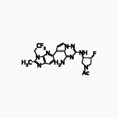 CC(=O)N1C[C@H](F)[C@H](Nc2nc(N)c3c(-c4ccc5nc(C)n(CC(F)(F)F)c5n4)ccn3n2)C1